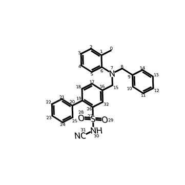 Cc1ccccc1N(Cc1ccccc1)Cc1ccc(-c2ccccc2)c(S(=O)(=O)NC#N)c1